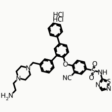 Cl.Cl.N#Cc1cc(S(=O)(=O)Nc2ncns2)ccc1Oc1ccc(-c2ccccc2)cc1-c1cccc(CN2CCN(CCN)CC2)c1